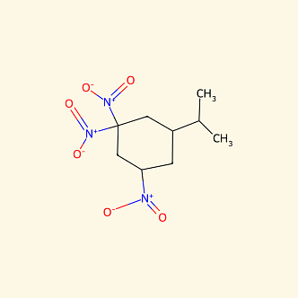 CC(C)C1CC([N+](=O)[O-])CC([N+](=O)[O-])([N+](=O)[O-])C1